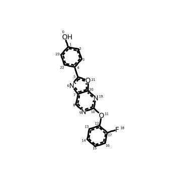 Oc1ccc(-c2nc3cnc(Oc4ccccc4F)nc3o2)cc1